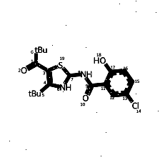 CC(C)(C)C(=O)C1=C(C(C)(C)C)NC(NC(=O)c2cc(Cl)ccc2O)S1